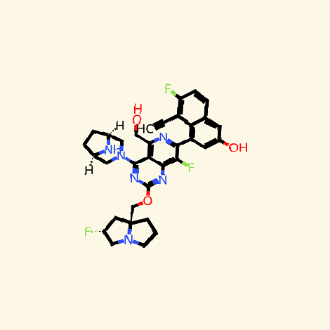 C#Cc1c(F)ccc2cc(O)cc(-c3nc(CO)c4c(N5C[C@H]6CC[C@@H](C5)N6)nc(OC[C@@]56CCCN5C[C@H](F)C6)nc4c3F)c12